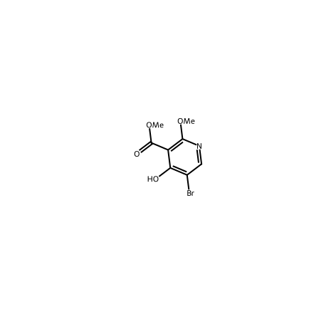 COC(=O)c1c(OC)ncc(Br)c1O